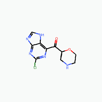 O=C(c1nc(Cl)nc2nc[nH]c12)C1CNCCO1